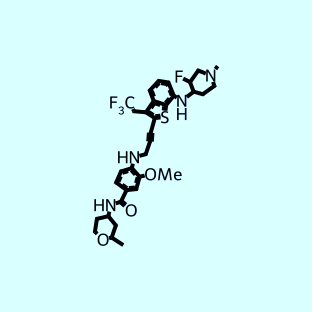 COc1cc(C(=O)NC2CCOC(C)C2)ccc1NCC#Cc1sc2c(NC3CCN(C)CC3F)cccc2c1CC(F)(F)F